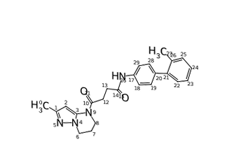 Cc1cc2n(n1)CCCN2C(=O)CCC(=O)Nc1ccc(-c2ccccc2C)cc1